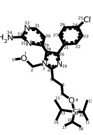 COCn1c(CCCO[Si](C(C)C)(C(C)C)C(C)C)nc(-c2ccc(Cl)cc2)c1-c1ccnc(N)n1